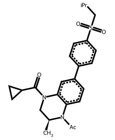 CC(=O)N1c2ccc(-c3ccc(S(=O)(=O)CC(C)C)cc3)cc2N(C(=O)C2CC2)C[C@@H]1C